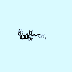 CCCCCNc1nc2nc(N=[N+]=[N-])ccc2cc1Br